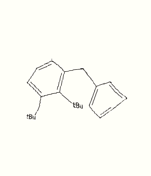 CC(C)(C)c1cc[c]c(Cc2ccccc2)c1C(C)(C)C